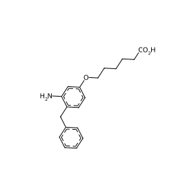 Nc1cc(OCCCCCC(=O)O)ccc1Cc1ccccc1